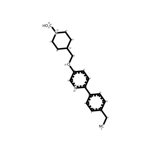 N#CCc1ccc(-c2ccc(OCC3CCN(C(=O)O)CC3)cn2)cc1